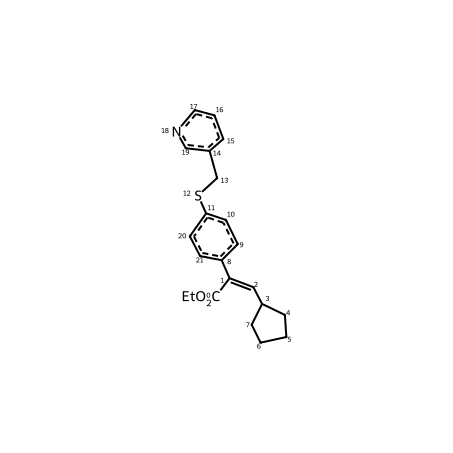 CCOC(=O)C(=CC1CCCC1)c1ccc(SCc2cccnc2)cc1